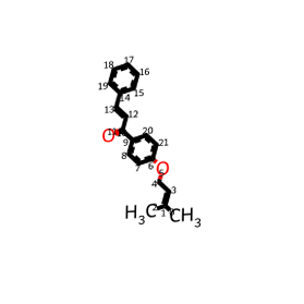 CC(C)=CCOc1ccc(C(=O)C=Cc2ccccc2)cc1